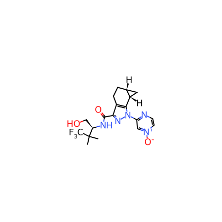 CC(C)([C@@H](CO)NC(=O)c1nn(-c2c[n+]([O-])ccn2)c2c1CC[C@@H]1C[C@H]21)C(F)(F)F